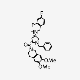 COc1cc2c(cc1OC)CN(C(=O)[C@@H]1C[C@H](NCc3ccc(F)cc3F)CN1Cc1ccccc1)CC2